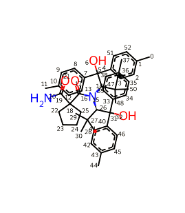 Cc1ccc(C(O)(c2ccc(C)cc2)[C@H](N(C(=O)C2(C(N)=O)CCCC2)[C@H](C(C)(C)C)C(O)(c2ccc(C)cc2)c2ccc(C)cc2)C(C)(C)C)cc1